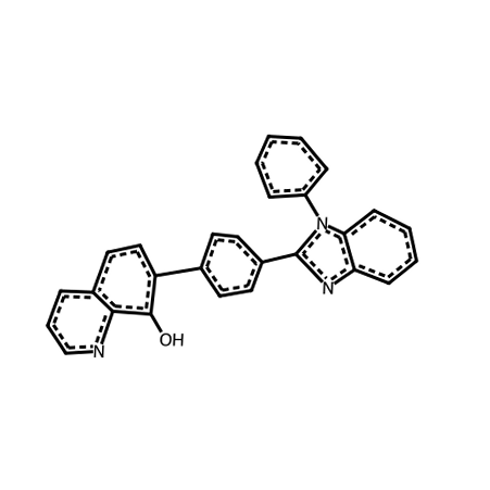 Oc1c(-c2ccc(-c3nc4ccccc4n3-c3ccccc3)cc2)ccc2cccnc12